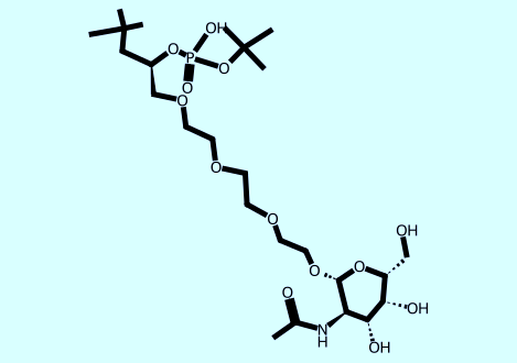 CC(=O)N[C@H]1[C@H](OCCOCCOCCOC[C@@H](CC(C)(C)C)OP(=O)(O)OC(C)(C)C)O[C@H](CO)[C@H](O)[C@@H]1O